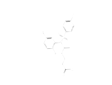 CC(CCCC(=O)Cl)N(c1cc(Cl)ccc1F)S(=O)(=O)c1ccc(Cl)cc1